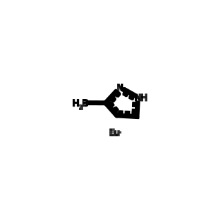 Bc1cc[nH]n1.[Eu]